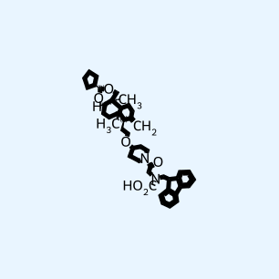 C=C1CCC2[C@]3(C)CO[C@@H](C4CCCC4)O[C@@H]3CC[C@@]2(C)[C@@H]1CCOC1CCN(C(=O)CN(CC2c3ccccc3-c3ccccc32)C(=O)O)CC1